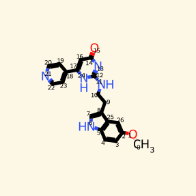 COc1ccc2[nH]cc(CCNc3nc(=O)cc(-c4ccncc4)[nH]3)c2c1